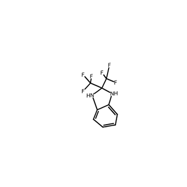 FC(F)(F)C1(C(F)(F)F)Nc2ccccc2N1